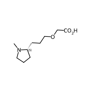 CN1CCC[C@H]1CCCOCC(=O)O